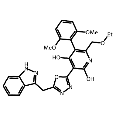 CCOCc1nc(O)c(-c2nnc(Cc3n[nH]c4ccccc34)o2)c(O)c1-c1c(OC)cccc1OC